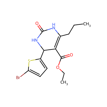 CCCC1=C(C(=O)OCC)C(c2ccc(Br)s2)NC(=O)N1